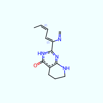 C=N/C(=C\C=C/C)c1nc2c(c(=O)[nH]1)CCCN2